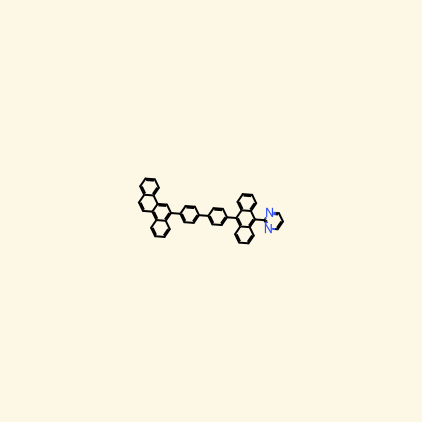 c1cnc(-c2c3ccccc3c(-c3ccc(-c4ccc(-c5cc6c7ccccc7ccc6c6ccccc56)cc4)cc3)c3ccccc23)nc1